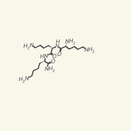 NCCCC[C@@H](N)C(=O)N[C@H](CCCCN)C(=O)N[C@H](CCCCN)C(N)=O